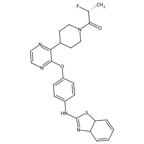 C[C@@H](F)C(=O)N1CCC(c2nccnc2Oc2ccc(NC3=NC4C=CC=CC4S3)cc2)CC1